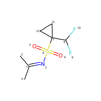 CC(C)=NS(=O)(=O)C1(C(F)F)CC1